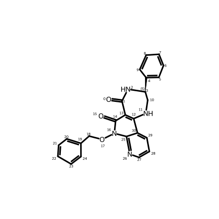 O=C1N[C@@H](c2ccccc2)CNc2c1c(=O)n(OCc1ccccc1)c1ncccc21